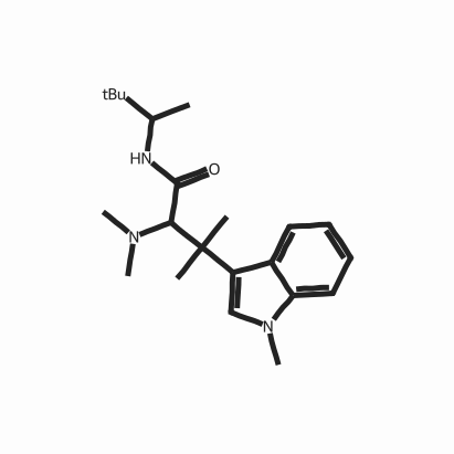 CC(NC(=O)C(N(C)C)C(C)(C)c1cn(C)c2ccccc12)C(C)(C)C